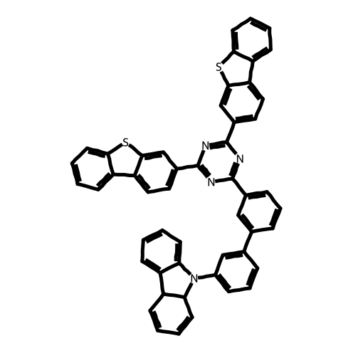 C1=CC2c3ccccc3N(c3cccc(-c4cccc(-c5nc(-c6ccc7c(c6)sc6ccccc67)nc(-c6ccc7c(c6)sc6ccccc67)n5)c4)c3)C2C=C1